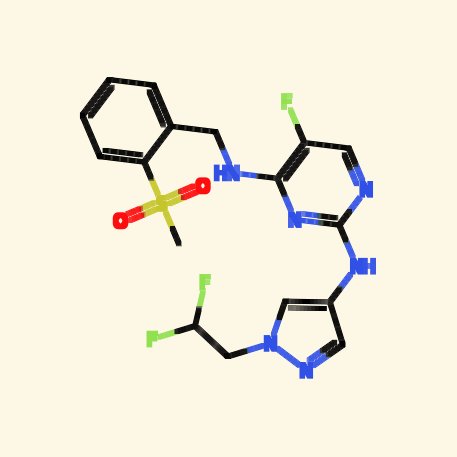 CS(=O)(=O)c1ccccc1CNc1nc(Nc2cnn(CC(F)F)c2)ncc1F